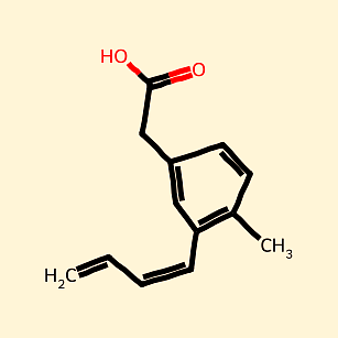 C=C/C=C\c1cc(CC(=O)O)ccc1C